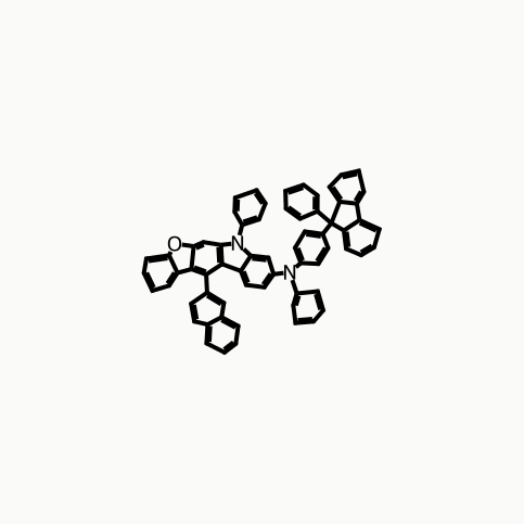 c1ccc(N(c2ccc(C3(c4ccccc4)c4ccccc4-c4ccccc43)cc2)c2ccc3c4c(-c5ccc6ccccc6c5)c5c(cc4n(-c4ccccc4)c3c2)oc2ccccc25)cc1